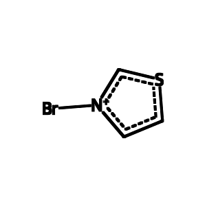 Br[n+]1ccsc1